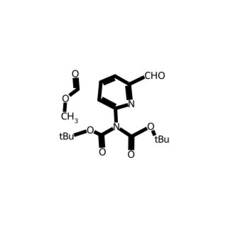 CC(C)(C)OC(=O)N(C(=O)OC(C)(C)C)c1cccc(C=O)n1.COC=O